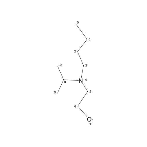 CCCCN(CC[O])C(C)C